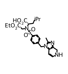 CCOC(=O)CN([C@@H](CC(C)C)C(=O)O)S(=O)(=O)c1ccc(Cn2c(C)nc3c2C=CNC3)cc1